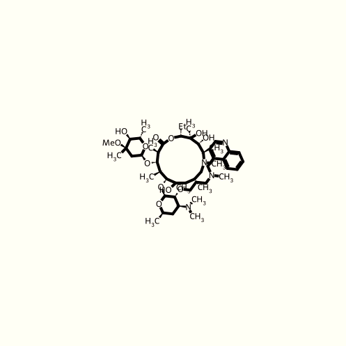 CC[C@H]1OC(=O)[C@H](C)[C@@H](O[C@H]2C[C@@](C)(OC)[C@@H](O)[C@H](C)O2)[C@H](C)[C@@H](O[C@@H]2O[C@H](C)C[C@H](N(C)C)[C@H]2OCCCN(C)Cc2ccnc3ccccc23)[C@](C)(O)C[C@@H](C)CN(C)[C@H](C)[C@@H](O)[C@]1(C)O